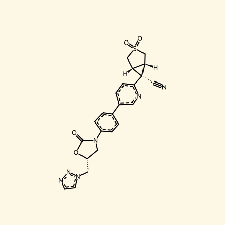 N#C[C@]1(c2ccc(-c3ccc(N4C[C@H](Cn5ccnn5)OC4=O)cc3)cn2)[C@@H]2CS(=O)(=O)C[C@@H]21